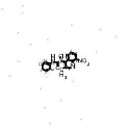 Cc1cnc2c([N+](=O)[O-])cccc2c1N(C)C(=O)Nc1ccccc1